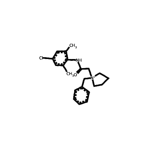 Cc1cc(Cl)cc(C)c1NC(=O)C[N+]1(Cc2ccccc2)CCCC1